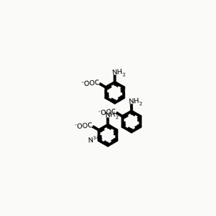 Nc1ccccc1C(=O)[O-].Nc1ccccc1C(=O)[O-].Nc1ccccc1C(=O)[O-].[N+3]